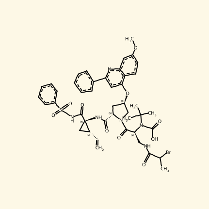 C=C[C@@H]1C[C@]1(NC(=O)[C@@H]1C[C@@H](Oc2cc(-c3ccccc3)nc3cc(OC)ccc23)CN1C(=O)[C@H](CNC(=O)C(C)Br)N(C(=O)O)C(C)(C)C)C(=O)NS(=O)(=O)c1ccccc1